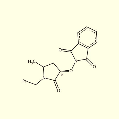 CC(C)CN1C(=O)[C@H](ON2C(=O)c3ccccc3C2=O)CC1C